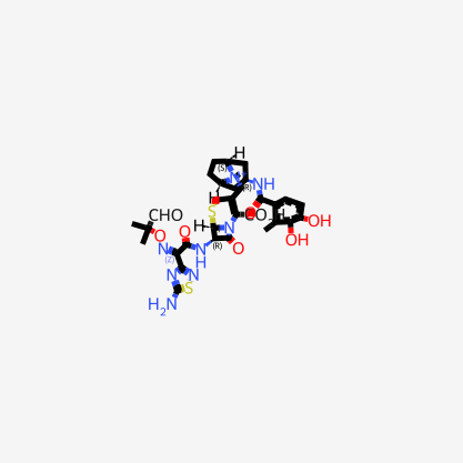 Cc1c(C(=O)N[C@H]2C[C@H]3CC[C@@H](C2)[N+]3(C)CC2=C(C(=O)O)N3C(=O)[C@@H](NC(=O)/C(=N\OC(C)(C)C=O)c4nsc(N)n4)[C@H]3SC2)ccc(O)c1O